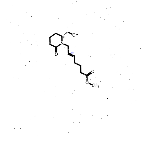 COC(=O)CCC/C=C/CN1C(=O)CCC[C@@H]1CO